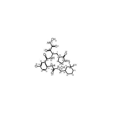 CNC(=O)C(=O)C(C[C@@H]1C[C@@H](C)NC1=O)NC(=O)c1cc(Cl)ccc1NC(=O)OCC1CCCC(F)(F)C1